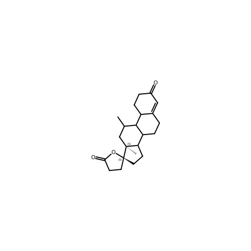 CC1C[C@@]2(C)C(CC[C@]23CCC(=O)O3)C2CCC3=CC(=O)CCC3C12